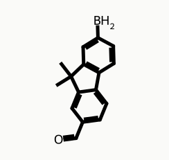 Bc1ccc2c(c1)C(C)(C)c1cc(C=O)ccc1-2